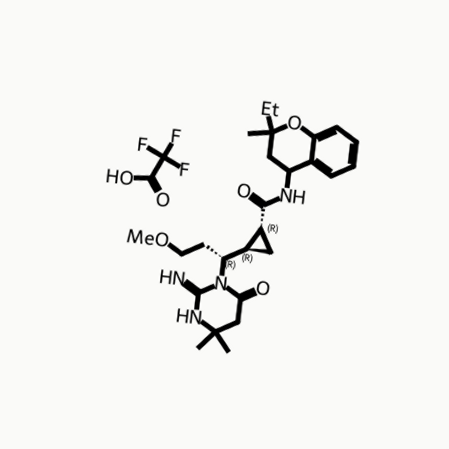 CCC1(C)CC(NC(=O)[C@@H]2C[C@H]2[C@@H](CCOC)N2C(=N)NC(C)(C)CC2=O)c2ccccc2O1.O=C(O)C(F)(F)F